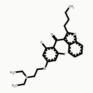 CCCCc1oc2ccccc2c1C(=O)c1c(F)cc(OCCN(CC)CC)cc1F